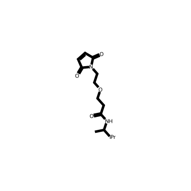 CC(C)C(C)NC(=O)CCOCCN1C(=O)C=CC1=O